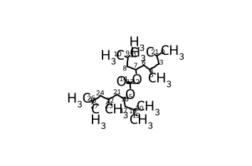 CC(C)CC(C)CC(CC(C)C)OC(=O)OC(CC(C)C)CC(C)CC(C)C